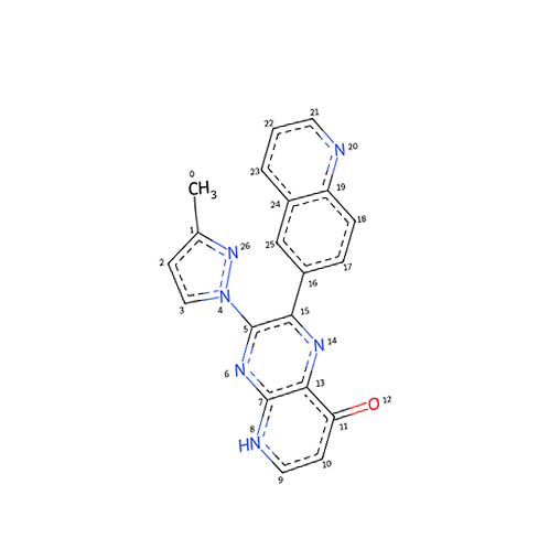 Cc1ccn(-c2nc3[nH]ccc(=O)c3nc2-c2ccc3ncccc3c2)n1